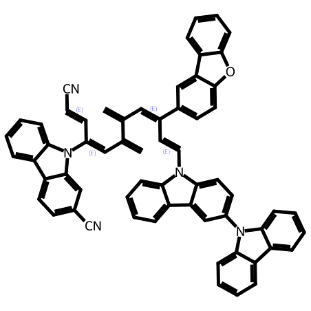 C=C(/C=C(\C=C\n1c2ccccc2c2cc(-n3c4ccccc4c4ccccc43)ccc21)c1ccc2oc3ccccc3c2c1)C(=C)/C=C(\C=C\C#N)n1c2ccccc2c2ccc(C#N)cc21